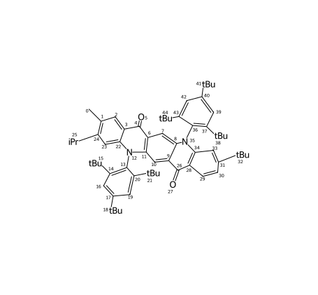 Cc1cc2c(=O)c3cc4c(cc3n(-c3c(C(C)(C)C)cc(C(C)(C)C)cc3C(C)(C)C)c2cc1C(C)C)c(=O)c1ccc(C(C)(C)C)cc1n4-c1c(C(C)(C)C)cc(C(C)(C)C)cc1C(C)(C)C